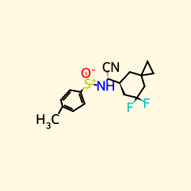 Cc1ccc([S@+]([O-])N[C@H](C#N)[C@@H]2CC(F)(F)CC3(CC3)C2)cc1